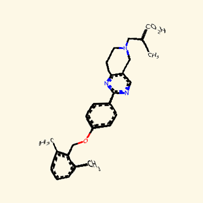 Cc1cccc(C)c1COc1ccc(-c2ncc3c(n2)CCN(CC(C)C(=O)O)C3)cc1